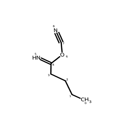 CCCCC(=N)OC#N